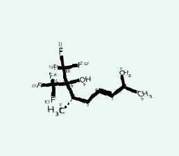 CC(C)/C=C/C[C@H](C)C(O)(C(F)(F)F)C(F)(F)F